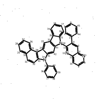 c1ccc(-c2cc3ncccc3nc2-n2c3ccccc3c3cc4c5c6ccccc6ccc5n(-c5ccccc5)c4cc32)cc1